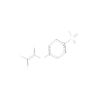 O=S(=O)(Cl)c1ccc(OC(F)=C(F)F)cc1